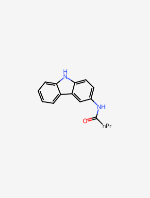 CCCC(=O)Nc1ccc2[nH]c3ccccc3c2c1